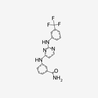 NC(=O)c1cccc(Nc2ccnc(Nc3cccc(C(F)(F)F)c3)n2)c1